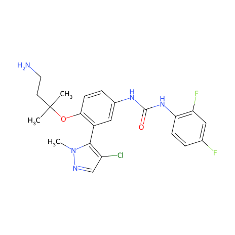 Cn1ncc(Cl)c1-c1cc(NC(=O)Nc2ccc(F)cc2F)ccc1OC(C)(C)CCN